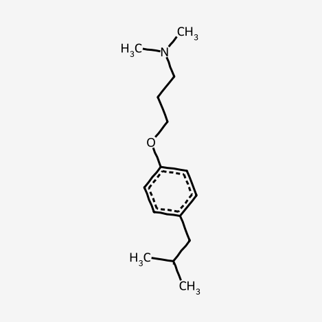 C[C](C)Cc1ccc(OCCCN(C)C)cc1